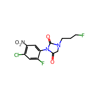 O=C1CN(CCCF)C(=O)N1c1cc([N+](=O)[O-])c(Cl)cc1F